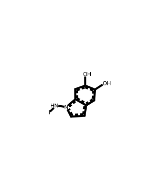 Oc1cc2ccn(NI)c2cc1O